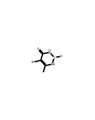 CC1=C(Br)C(=O)N[S+]([O-])N1